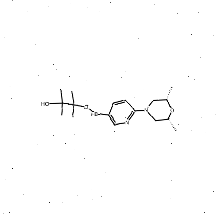 C[C@@H]1CN(c2ccc(BOC(C)(C)C(C)(C)O)cn2)C[C@H](C)O1